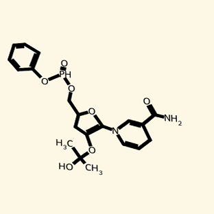 CC(C)(O)OC1=C(N2C=CCC(C(N)=O)=C2)OC(CO[PH](=O)Oc2ccccc2)C1